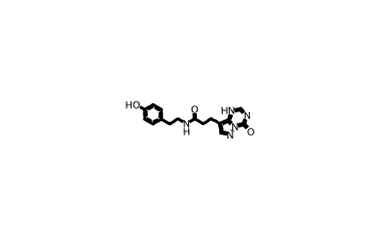 O=C(CCc1cnn2c(=O)nc[nH]c12)NCCc1ccc(O)cc1